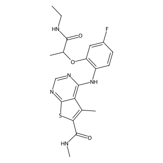 CCNC(=O)C(C)Oc1cc(F)ccc1Nc1ncnc2sc(C(=O)NC)c(C)c12